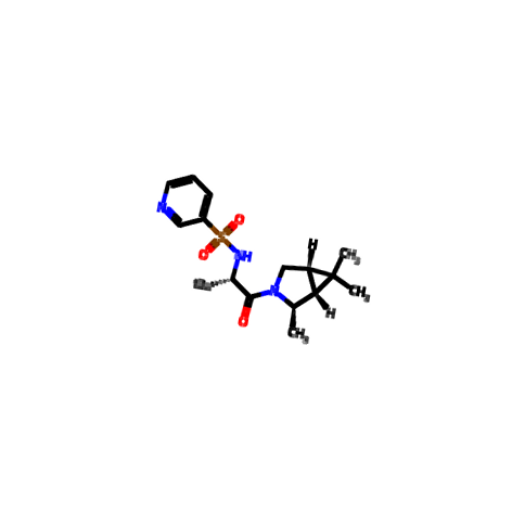 C[C@@H]1[C@@H]2[C@H](CN1C(=O)[C@@H](NS(=O)(=O)c1cccnc1)C(C)(C)C)C2(C)C